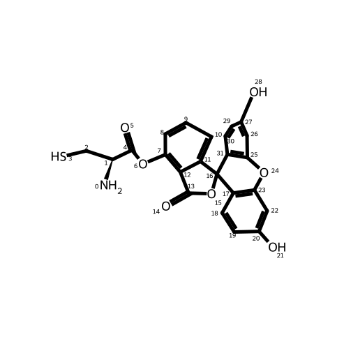 N[C@@H](CS)C(=O)Oc1cccc2c1C(=O)OC21c2ccc(O)cc2Oc2cc(O)ccc21